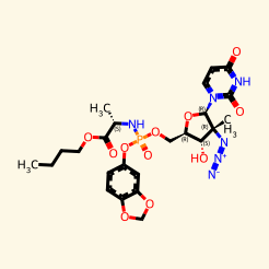 CCCCOC(=O)[C@H](C)NP(=O)(OC[C@H]1O[C@@H](n2ccc(=O)[nH]c2=O)[C@](C)(N=[N+]=[N-])[C@@H]1O)Oc1ccc2c(c1)OCO2